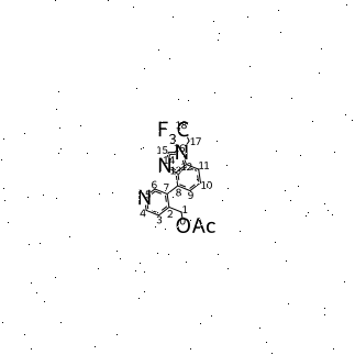 CC(=O)OCc1ccncc1-c1cccc2c1ncn2CC(F)(F)F